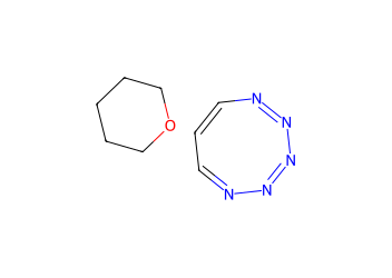 C1=C\N=N/N=N\N=C/1.C1CCOCC1